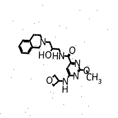 COc1nc(NC2COC2)cc(C(=O)NCC(O)CN2CCc3ccccc3C2)n1